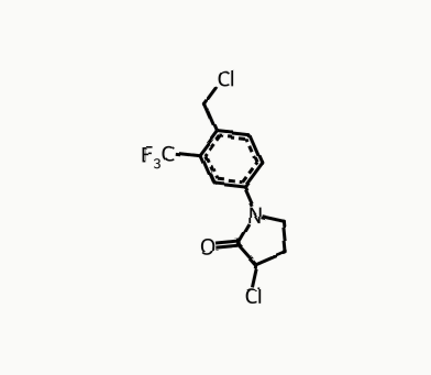 O=C1C(Cl)CCN1c1ccc(CCl)c(C(F)(F)F)c1